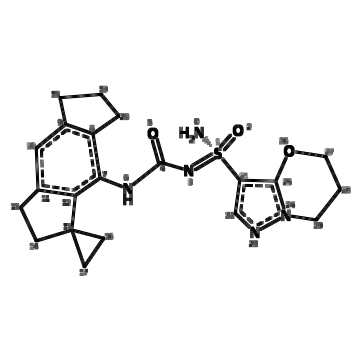 N[S@@](=O)(=NC(=O)Nc1c2c(cc3c1C1(CC3)CC1)CCC2)c1cnn2c1OCCC2